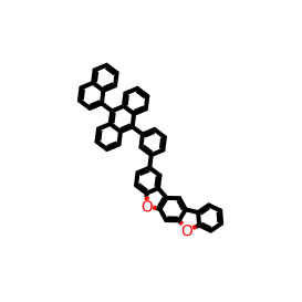 c1cc(-c2ccc3oc4cc5oc6ccccc6c5cc4c3c2)cc(-c2c3ccccc3c(-c3cccc4ccccc34)c3ccccc23)c1